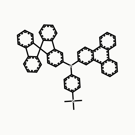 C[Si](C)(C)c1ccc(N(c2ccc3c(c2)-c2ccccc2C32c3ccccc3-c3ccccc32)c2ccc3c4ccccc4c4ccccc4c3c2)cc1